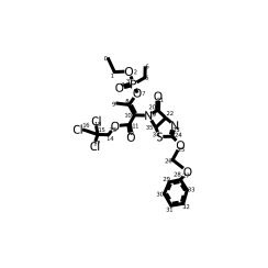 CCOP(=O)(CC)OC(C)=C(C(=O)OCC(Cl)(Cl)Cl)N1C(=O)C2N=C(OCOc3ccccc3)SC21